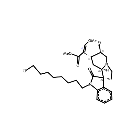 CC[C@H]1CN2CC[C@]3(C(=O)N(CCCCCCCCCl)c4ccccc43)[C@H]2C[C@@H]1/C(=C\OC)C(=O)OC